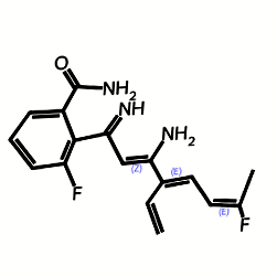 C=CC(=C\C=C(/C)F)/C(N)=C/C(=N)c1c(F)cccc1C(N)=O